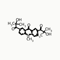 Cn1c2ccc(C(=O)C(C)(C)O)cc2c(=O)c2cc(C(=O)C(C)(C)O)ccc21